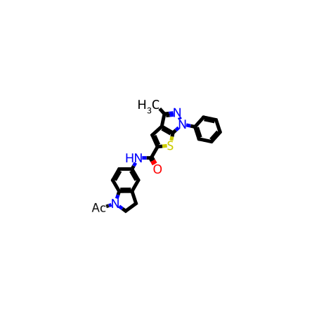 CC(=O)N1CCc2cc(NC(=O)c3cc4c(C)nn(-c5ccccc5)c4s3)ccc21